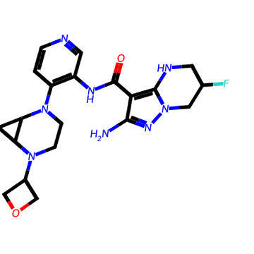 Nc1nn2c(c1C(=O)Nc1cnccc1N1CCN(C3COC3)C3CC31)NCC(F)C2